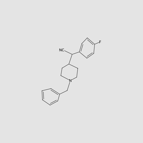 N#CC(c1ccc(F)cc1)C1CCN(Cc2ccccc2)CC1